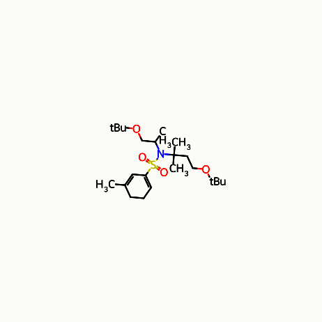 CC1=CC(S(=O)(=O)N(C(C)COC(C)(C)C)C(C)(C)CCOC(C)(C)C)=CCC1